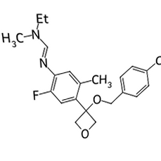 CCN(C)C=Nc1cc(C)c(C2(OCc3ccc(Cl)cc3)COC2)cc1F